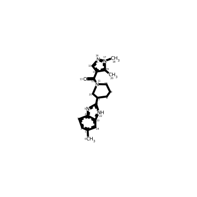 Cc1ccc2nc(C3CCCN(C(=O)c4cnn(C)c4C)C3)[nH]c2c1